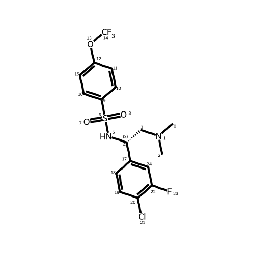 CN(C)C[C@@H](NS(=O)(=O)c1ccc(OC(F)(F)F)cc1)c1ccc(Cl)c(F)c1